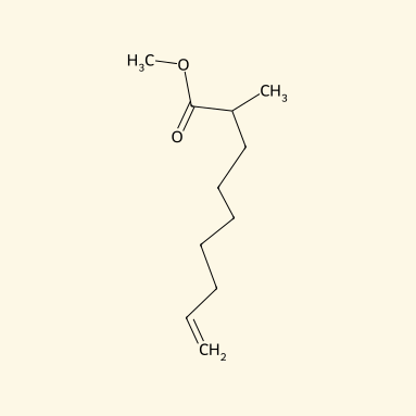 C=CCCCCCC(C)C(=O)OC